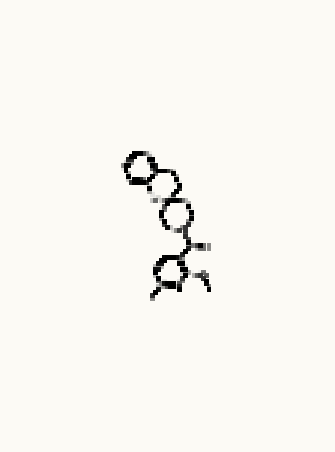 COc1nc(C)ccc1C(=O)N1CCC2(CCc3ccccc3O2)CC1